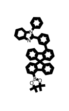 CC1(C)OB(c2cccc3c2-c2ccccc2C32c3ccccc3-c3c(-c4cccc(C5=NC6=CC=CCC6N5c5ccccc5)c4)cccc32)OC1(C)C